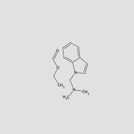 CCOC=O.CN(C)Cn1ccc2ccccc21